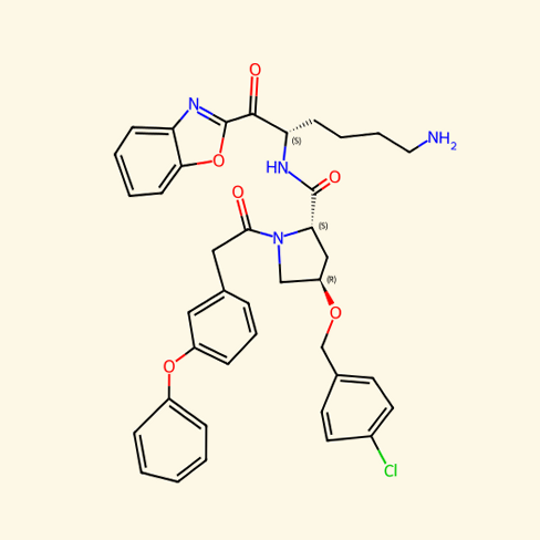 NCCCC[C@H](NC(=O)[C@@H]1C[C@@H](OCc2ccc(Cl)cc2)CN1C(=O)Cc1cccc(Oc2ccccc2)c1)C(=O)c1nc2ccccc2o1